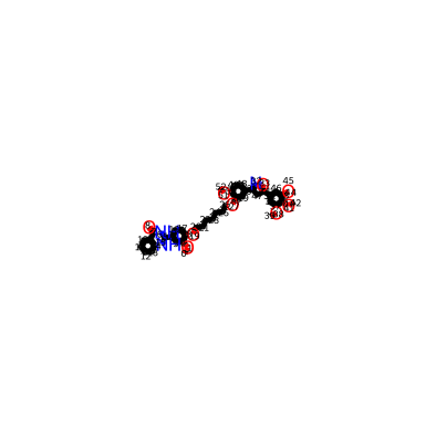 COc1cc(C2NC(=O)c3ccccc3N2)ccc1OCCCCCCCOc1cc(C2=NOC(c3cc(OC)c(OC)c(OC)c3)C2)ccc1OC